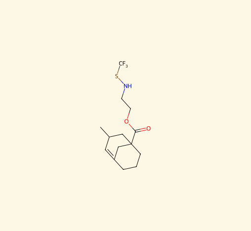 CC1C=C2CCCC(C(=O)OCCNSC(F)(F)F)(C2)C1